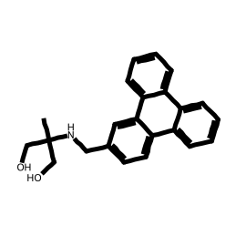 CC(CO)(CO)NCc1ccc2c3ccccc3c3ccccc3c2c1